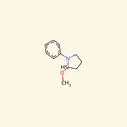 CO[SiH]1CCCN1c1ccccc1